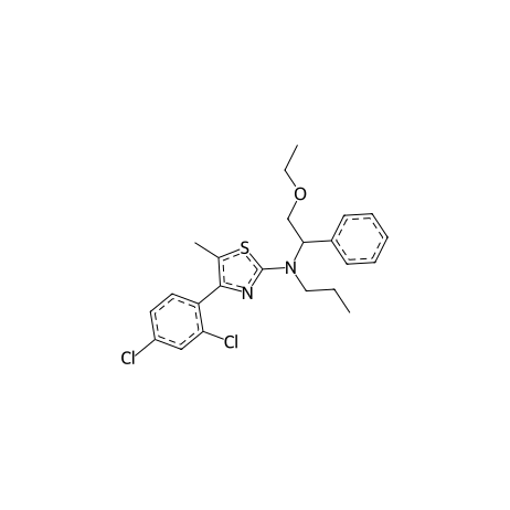 CCCN(c1nc(-c2ccc(Cl)cc2Cl)c(C)s1)C(COCC)c1ccccc1